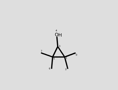 CC1(C)C(O)C1(C)C